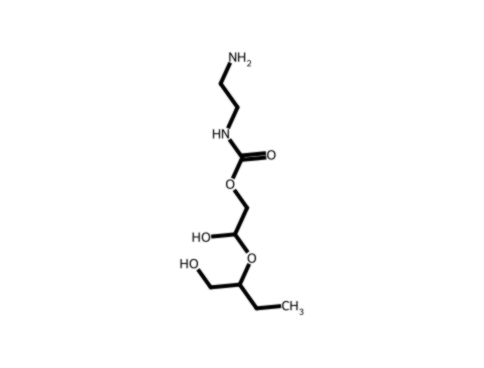 CCC(CO)OC(O)COC(=O)NCCN